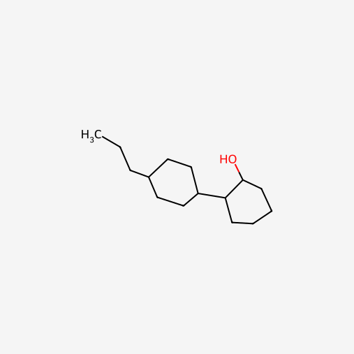 CCCC1CCC(C2CCCCC2O)CC1